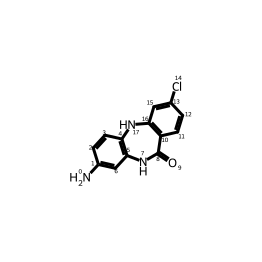 Nc1ccc2c(c1)NC(=O)c1ccc(Cl)cc1N2